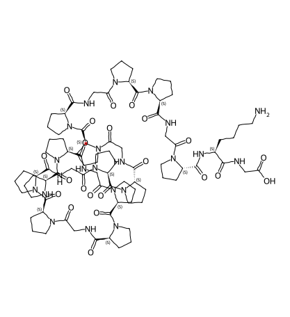 NCCCC[C@H](NC(=O)[C@@H]1CCCN1C(=O)CNC(=O)[C@@H]1CCCN1C(=O)[C@@H]1CCCN1C(=O)CNC(=O)[C@@H]1CCCN1C(=O)[C@@H]1CCCN1C(=O)CNC(=O)[C@@H]1CCCN1C(=O)[C@@H]1CCCN1C(=O)CNC(=O)[C@@H]1CCCN1C(=O)[C@@H]1CCCN1C(=O)CNC(=O)[C@@H]1CCCN1C(=O)[C@@H]1CCCN1C(=O)CNC(=O)[C@@H]1CCCN1C(=O)[C@@H]1CCCN1)C(=O)NCC(=O)O